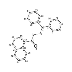 O=C(CCN(c1ccccc1)c1ccccc1)c1cccc2ccccc12